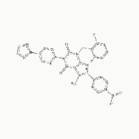 Cc1c(-c2ccc([N+](=O)[O-])cc2)sc2c1c(=O)n(-c1ccc(-n3nccn3)cn1)c(=O)n2Cc1c(F)cccc1F